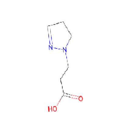 O=C(O)CCN1CCC=N1